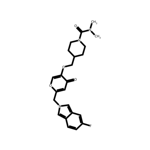 CN(C)C(=O)N1CCC(COc2coc(Cn3cc4ccc(F)cc4c3)cc2=O)CC1